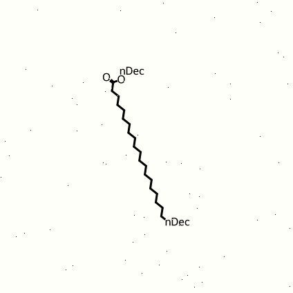 CCCCCCCCCCCCCCCCCCCCCCCCCCCCCC(=O)OCCCCCCCCCC